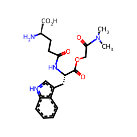 CN(C)C(=O)COC(=O)[C@H](Cc1c[nH]c2ccccc12)NC(=O)CC[C@@H](N)C(=O)O